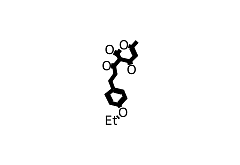 CCOc1ccc(CCC(=O)C2C(=O)C=C(C)OC2=O)cc1